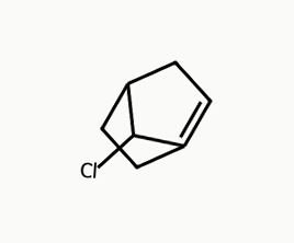 ClC1C2=CCC1CC2